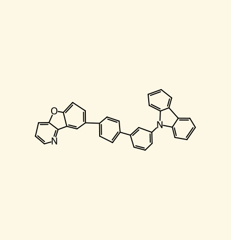 c1cc(-c2ccc(-c3ccc4oc5cccnc5c4c3)cc2)cc(-n2c3ccccc3c3ccccc32)c1